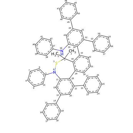 CC1(C)SN(c2ccccc2)c2cc(-c3ccccc3)cc(-c3ccccc3)c2-c2cccc(-c3c(Nc4ccccc4)cc(-c4ccccc4)cc3-c3ccccc3)c21